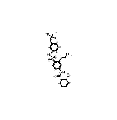 CCOc1cc(NC(=O)[C@H]2CCC=C[C@H]2O)ccc1S(=O)(=O)Nc1cccc(OC(F)(F)F)c1